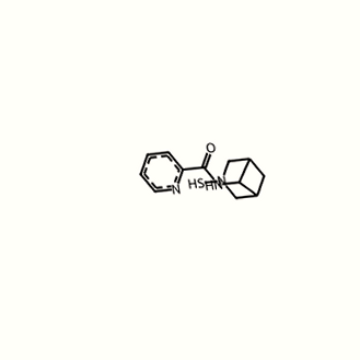 O=C(NC1C2CC1CN(S)C2)c1ccccn1